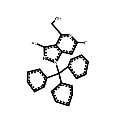 CC(=O)c1nn(C(c2ccccc2)(c2ccccc2)c2ccccc2)c2cc(Cl)nc(CO)c12